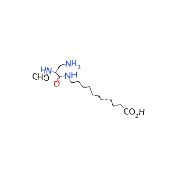 NC[C@H](NC=O)C(=O)NCCCCCCCCCCC(=O)O